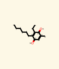 CCCCCCC1=C(CC)C(=O)C(C)=CC1=O